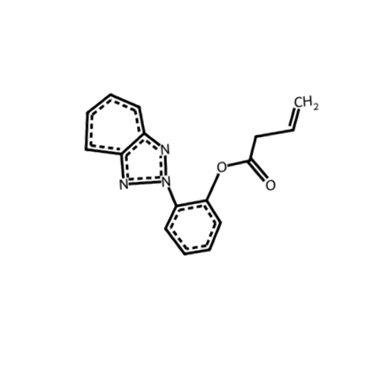 C=CCC(=O)Oc1ccccc1-n1nc2ccccc2n1